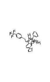 CNC(=O)[C@H](N[C@H](CCc1ccc(C(F)(F)F)cc1)c1ccc(Cl)cc1)c1ccccc1